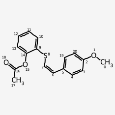 COc1ccc(/C=C\Sc2ccccc2OC(C)=O)cc1